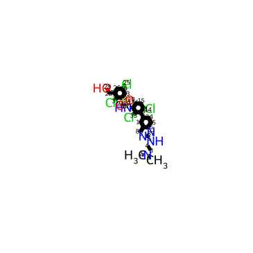 CN(C)CCNc1ncc2cc(-c3c(Cl)ccc(NS(=O)(=O)c4cc(Cl)cc(CO)c4Cl)c3Cl)ccc2n1